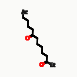 CCC(=O)CCCCCC(=O)CCCCC(C)=O